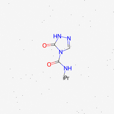 CC(C)NC(=O)n1cn[nH]c1=O